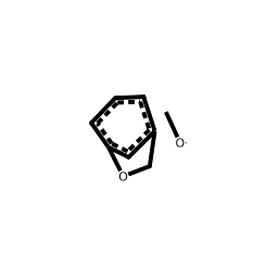 C[O].c1cc2cc(c1)OC2